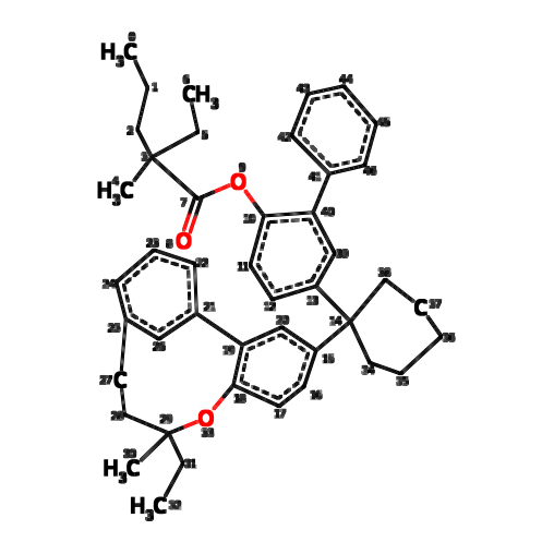 CCCC(C)(CC)C(=O)Oc1ccc(C2(c3ccc4c(c3)-c3cccc(c3)CCC(C)(CC)O4)CCCCC2)cc1-c1ccccc1